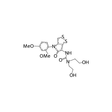 COc1ccc(-n2c3cssc-3c(NC(=O)N(CCO)CCO)c2=O)c(OC)c1